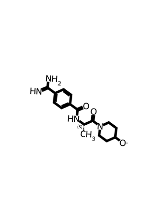 C[C@H](NC(=O)c1ccc(C(=N)N)cc1)C(=O)N1CCC([O])CC1